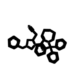 N#CCC1CN(Cc2ccccc2)CN1C(=O)C1=CC=CC=CN1C(c1ccccc1)(c1ccccc1)c1ccccc1